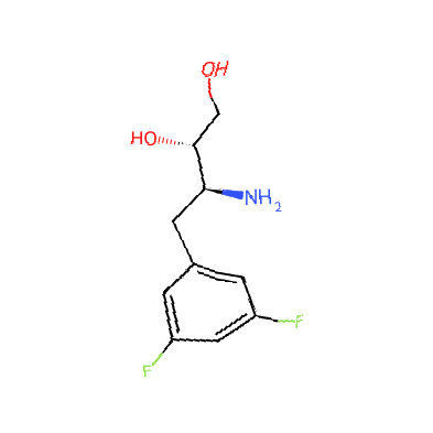 N[C@@H](Cc1cc(F)cc(F)c1)[C@H](O)CO